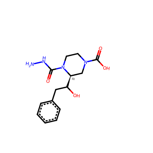 NNC(=O)N1CCN(C(=O)O)C[C@H]1C(O)Cc1ccccc1